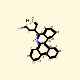 C=CC(CCI)c1nc2c3ccccc3c3ccccc3c2c2ccccc12